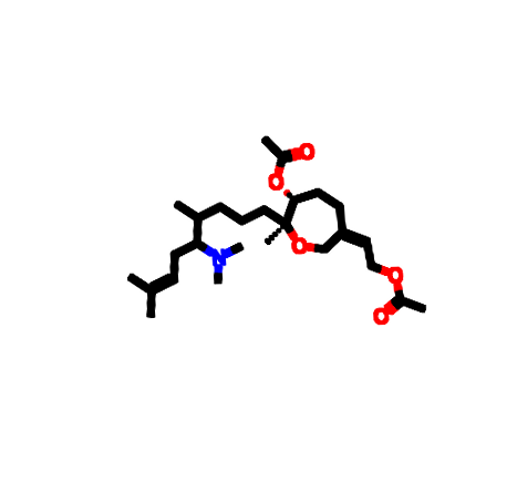 CC(=O)OCC=C1CC[C@@H](OC(C)=O)[C@](C)(CCCC(C)C(CC=C(C)C)N(C)C)OC1